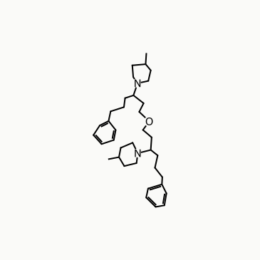 CC1CCN(C(CCCc2ccccc2)CCOCCC(CCCc2ccccc2)N2CCC(C)CC2)CC1